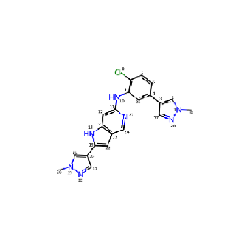 Cn1cc(-c2ccc(Cl)c(Nc3cc4[nH]c(-c5cnn(C)c5)cc4cn3)c2)cn1